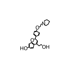 OCCC1=CC(c2ccc(OCCN3CCCCC3)cc2)Oc2cc(O)ccc21